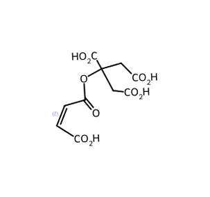 O=C(O)/C=C\C(=O)OC(CC(=O)O)(CC(=O)O)C(=O)O